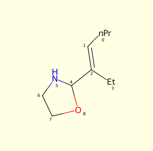 CCCC=C(CC)C1NCCO1